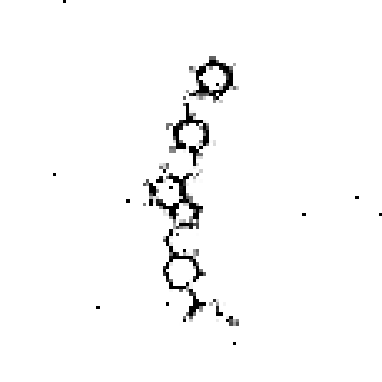 CC(C)(C)OC(=O)N1CCC(Cn2ncc3c(Oc4ccc(Oc5ccccc5)cc4)ncnc32)CC1